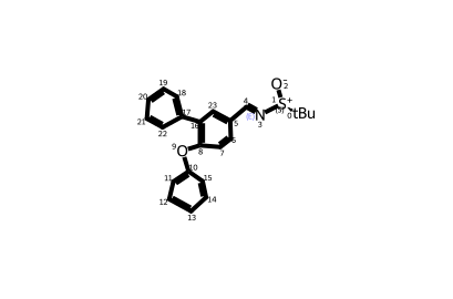 CC(C)(C)[S@@+]([O-])/N=C/c1ccc(Oc2ccccc2)c(-c2ccccc2)c1